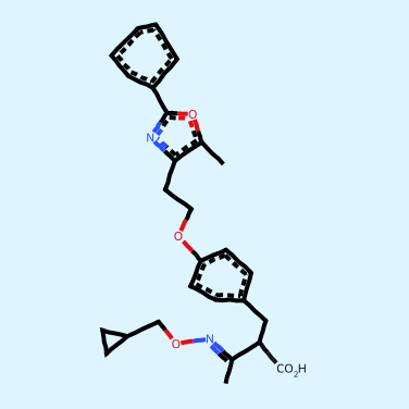 CC(=NOCC1CC1)C(Cc1ccc(OCCc2nc(-c3ccccc3)oc2C)cc1)C(=O)O